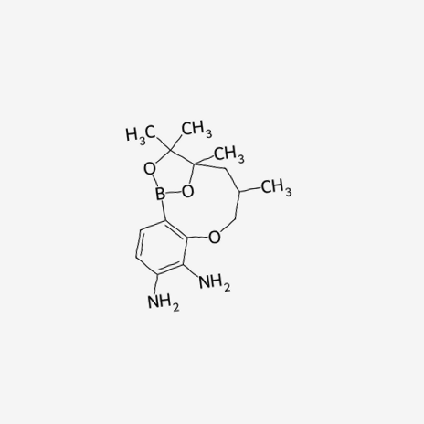 CC1COc2c(ccc(N)c2N)B2OC(C)(C)C(C)(C1)O2